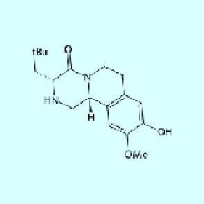 COc1cc2c(cc1O)CCN1C(=O)[C@@H](CC(C)(C)C)NC[C@@H]21